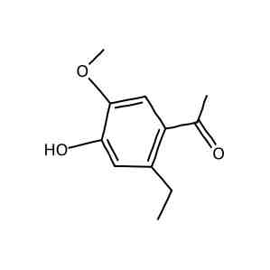 CCc1cc(O)c(OC)cc1C(C)=O